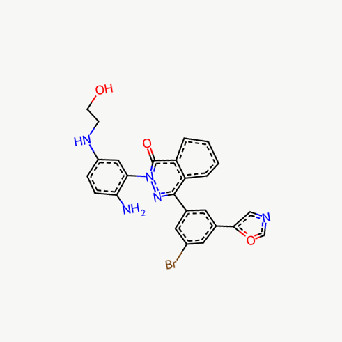 Nc1ccc(NCCO)cc1-n1nc(-c2cc(Br)cc(-c3cnco3)c2)c2ccccc2c1=O